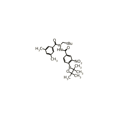 Cc1cc(C)cc(C(=O)N(CC(C)(C)C)NC(=O)c2ccc(B3OC(C)(C)C3(C)C)c([N+](=O)[O-])c2)c1